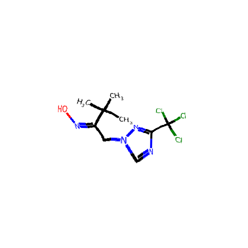 CC(C)(C)/C(Cn1cnc(C(Cl)(Cl)Cl)n1)=N\O